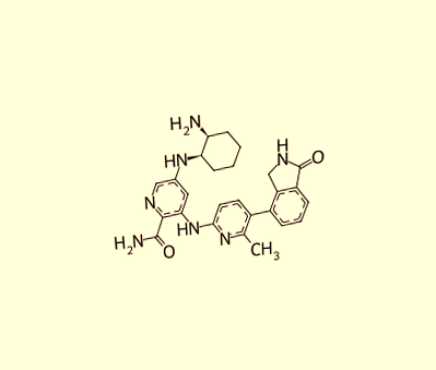 Cc1nc(Nc2cc(N[C@@H]3CCCC[C@@H]3N)cnc2C(N)=O)ccc1-c1cccc2c1CNC2=O